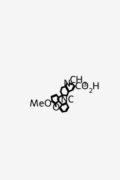 [C-]#[N+]C1(c2ccc(OC)c3oc4ccccc4c23)CCc2nc(C)c(C(=O)O)cc2C1